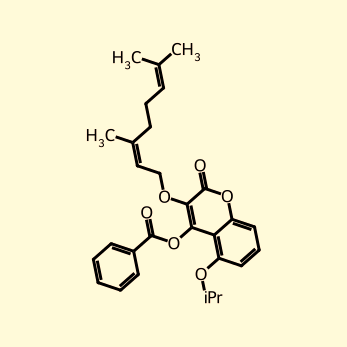 CC(C)=CCCC(C)=CCOc1c(OC(=O)c2ccccc2)c2c(OC(C)C)cccc2oc1=O